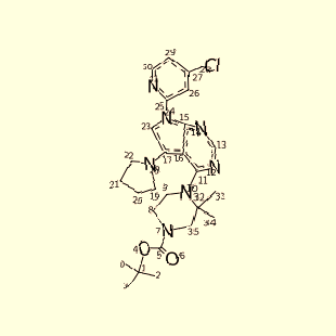 CC(C)(C)OC(=O)N1CCN(c2ncnc3c2c(N2CCCC2)cn3-c2cc(Cl)ccn2)C(C)(C)C1